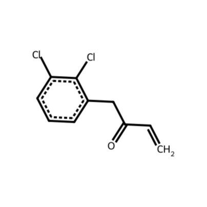 C=CC(=O)Cc1cccc(Cl)c1Cl